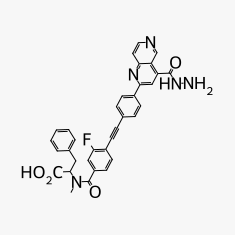 CN(C(=O)c1ccc(C#Cc2ccc(-c3cc(C(=O)NN)c4cnccc4n3)cc2)c(F)c1)C(Cc1ccccc1)C(=O)O